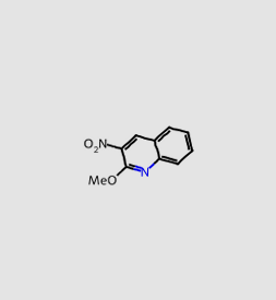 COc1nc2ccccc2cc1[N+](=O)[O-]